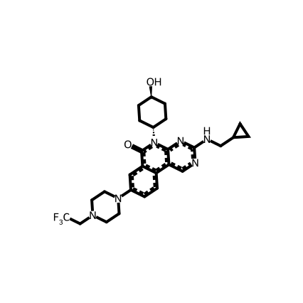 O=c1c2cc(N3CCN(CC(F)(F)F)CC3)ccc2c2cnc(NCC3CC3)nc2n1[C@H]1CC[C@H](O)CC1